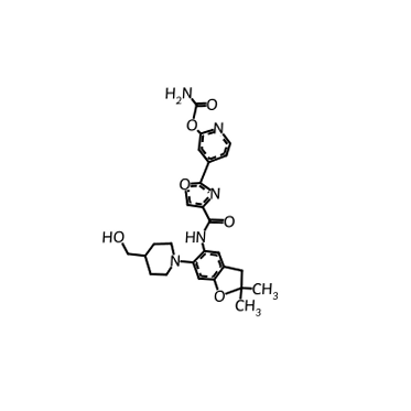 CC1(C)Cc2cc(NC(=O)c3coc(-c4ccnc(OC(N)=O)c4)n3)c(N3CCC(CO)CC3)cc2O1